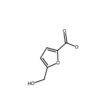 [O]C(=O)c1ccc(CO)o1